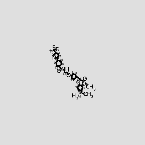 CCOC(=O)C(Cc1ccc(OCCNC(=O)c2ccc(-c3ccc(C(F)(F)F)cn3)cc2)cc1)Oc1ccc(C(C)C)cc1